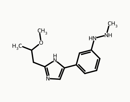 CNNc1cccc(-c2cnc(CC(C)OC)[nH]2)c1